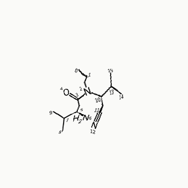 CCN(C(=O)[C@@H](N)C(C)C)[C@H](C#N)C(C)C